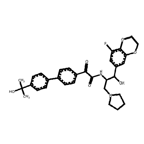 CC(C)(O)c1ccc(-c2ccc(C(=O)C(=O)NC(CN3CCCC3)C(O)c3cc(F)c4c(c3)OCCO4)cc2)cc1